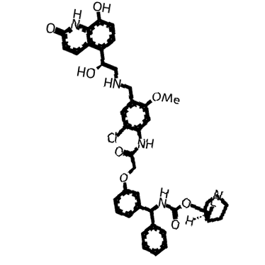 COc1cc(NC(=O)COc2cccc(C(NC(=O)O[C@H]3CN4CCC3CC4)c3ccccc3)c2)c(Cl)cc1CNC[C@@H](O)c1ccc(O)c2[nH]c(=O)ccc12